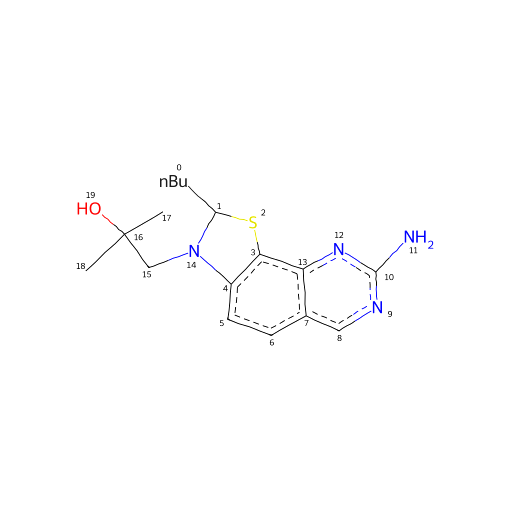 CCCCC1Sc2c(ccc3cnc(N)nc23)N1CC(C)(C)O